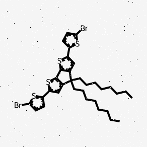 CCCCCCCCC1(CCCCCCCC)c2cc(-c3ccc(Br)s3)sc2-c2sc(-c3ccc(Br)s3)cc21